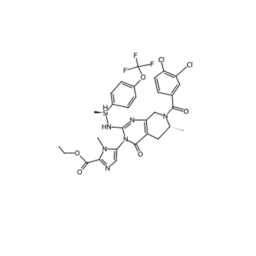 CCOC(=O)c1ncc(-n2c(N[Si@@H](C)c3ccc(OC(F)(F)F)cc3)nc3c(c2=O)C[C@@H](C)N(C(=O)c2ccc(Cl)c(Cl)c2)C3)n1C